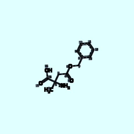 CC(N)(CC(=O)OCc1ccccc1)C(=O)O